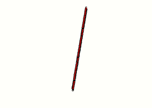 S=S=S=S=S=S=S=S=S=S=S=S=S=S=S=S=S=S=S=S=S=S=S=S=S=S=S=S=S=S=S=S=S=S=S=S=S=S=S=S=S=S=S=S=S=S=S=S=S=S=S=S=S=S=S=S=S=S=S=S=S=S=S=S=S=S=S=S=S=S=S=S=S=S=S=S=S=S=S=S=S=S=S=S=S=S=S=S=S=S=S=S=S=S=S=S=S=S=S=S=S=S=S=S=S=S=S=S=S=S=S=S=S=S=S=S=S=S=S=S